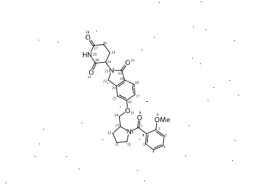 COc1ccccc1C(=O)N1CCCC1COc1ccc2c(c1)CN(C1CCC(=O)NC1=O)C2=O